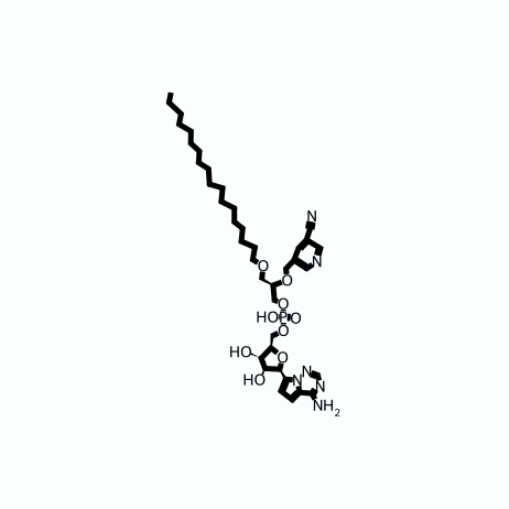 CCCCCCCCCCCCCCCCCCOC[C@H](COP(=O)(O)OC[C@H]1O[C@@H](c2ccc3c(N)ncnn23)[C@H](O)[C@@H]1O)OCc1cncc(C#N)c1